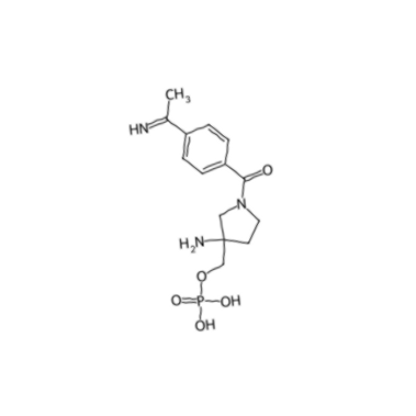 CC(=N)c1ccc(C(=O)N2CCC(N)(COP(=O)(O)O)C2)cc1